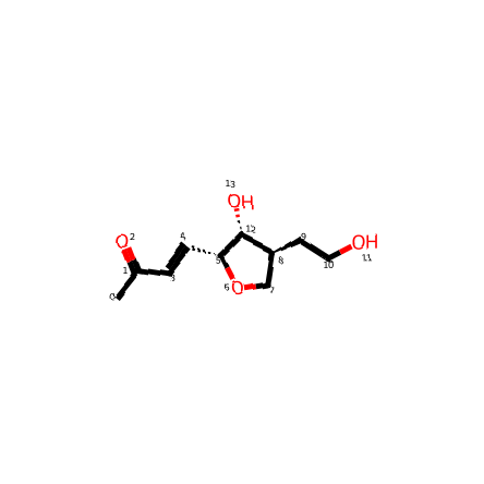 CC(=O)/C=C/[C@H]1OC[C@H](CCO)[C@H]1O